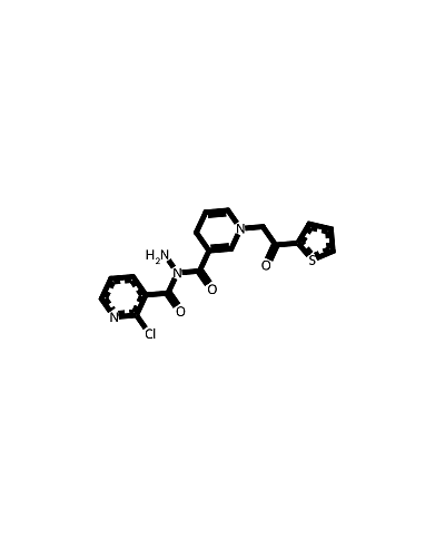 NN(C(=O)C1=CN(CC(=O)c2cccs2)C=CC1)C(=O)c1cccnc1Cl